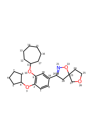 c1cc(OC2CCCC2)c(OC2CCCCCC2)cc1C1=NOC2(CCOC2)C1